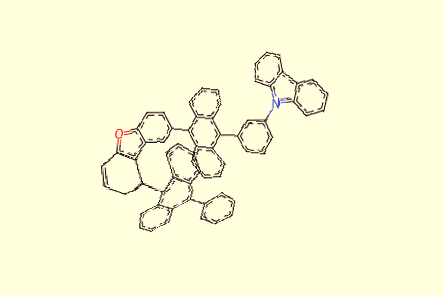 C1=Cc2oc3ccc(-c4c5ccccc5c(-c5cccc(-n6c7ccccc7c7ccccc76)c5)c5ccccc45)cc3c2C(c2c3ccccc3c(-c3ccccc3)c3ccccc23)C1